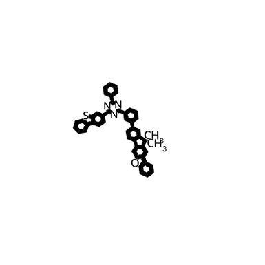 CC1(C)c2cc(-c3cccc(-c4nc(-c5ccccc5)nc(-c5ccc6c(c5)sc5ccccc56)n4)c3)ccc2-c2cc3oc4ccccc4c3cc21